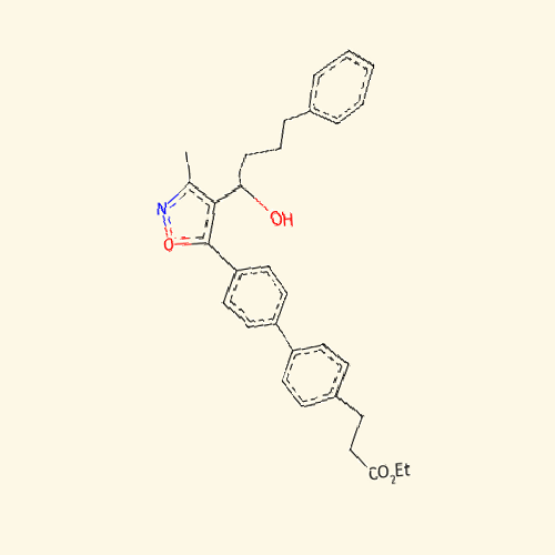 CCOC(=O)CCc1ccc(-c2ccc(-c3onc(C)c3C(O)CCCc3ccccc3)cc2)cc1